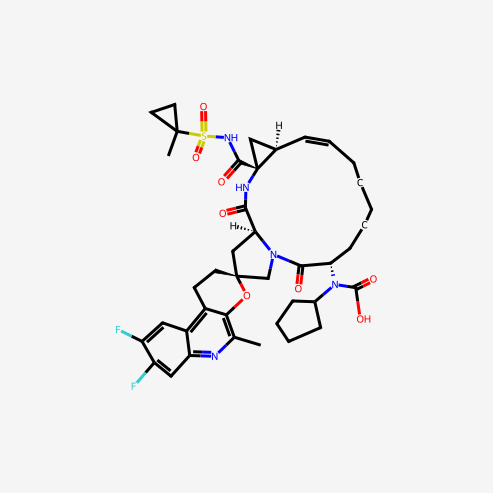 Cc1nc2cc(F)c(F)cc2c2c1O[C@]1(CC2)C[C@H]2C(=O)N[C@]3(C(=O)NS(=O)(=O)C4(C)CC4)C[C@H]3/C=C\CCCCC[C@H](N(C(=O)O)C3CCCC3)C(=O)N2C1